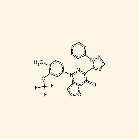 Cc1ccc(-n2nc(-c3ccnn3-c3ccccc3)c(=O)c3occc32)cc1OC(F)(F)F